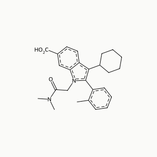 Cc1ccccc1-c1c(C2CCCCC2)c2ccc(C(=O)O)cc2n1CC(=O)N(C)C